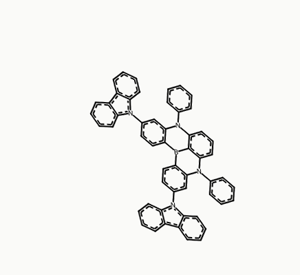 c1ccc(N2c3cc(-n4c5ccccc5c5ccccc54)ccc3B3c4ccc(-n5c6ccccc6c6ccccc65)cc4N(c4ccccc4)c4cccc2c43)cc1